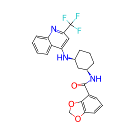 O=C(N[C@@H]1CCC[C@H](Nc2cc(C(F)(F)F)nc3ccccc23)C1)c1cccc2c1OCO2